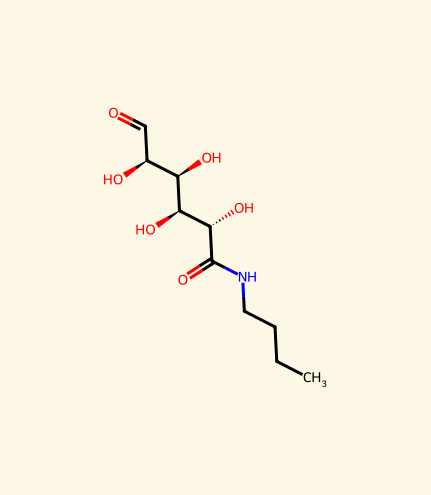 CCCCNC(=O)[C@@H](O)[C@@H](O)[C@H](O)[C@@H](O)C=O